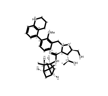 COc1c(CN2O[C@@H](CO)[C@H]([C@H](C)O)[C@H]2C(=O)N[C@H]2C[C@H]3C[C@@H]([C@@H]2C)C3(C)C)cccc1-c1cccc2c1CCCN2